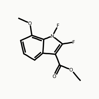 COC(=O)c1c(F)n(F)c2c(OC)cccc12